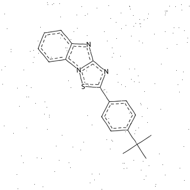 CC(C)(C)c1ccc(-c2nc3nc4ccccc4n3s2)cc1